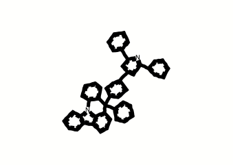 c1ccc(-c2cc(-c3ccc(C4(c5ccccc5)c5ccccc5-n5c6ccccc6c6cccc4c65)cc3)cc(-c3ccccc3)n2)cc1